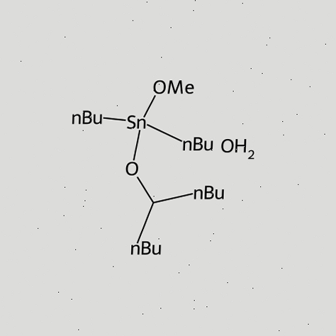 CCCCC(CCCC)[O][Sn]([CH2]CCC)([CH2]CCC)[O]C.O